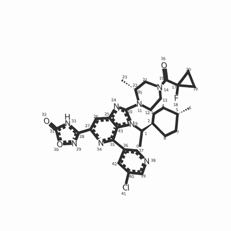 CC([C@H]1CC[C@H](C)CC1)n1c(N2CCN(C(=O)C3(F)CC3)C[C@H]2C)nc2cc(-c3noc(=O)[nH]3)nc(-c3cncc(Cl)c3)c21